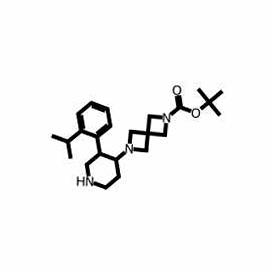 CC(C)c1ccccc1C1CNCCC1N1CC2(CN(C(=O)OC(C)(C)C)C2)C1